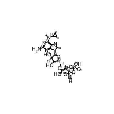 CN(c1nc(N)nc2c1ncn2[C@@H]1O[C@H](COP(=O)(O)O[PH](O)(O)OP(=O)(O)O)[C@@H](O)[C@@]1(C)O)C1CC1